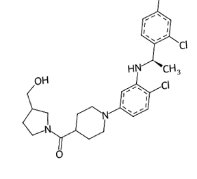 C[C@@H](Nc1cc(N2CCC(C(=O)N3CCC(CO)C3)CC2)ccc1Cl)c1ccc(Cl)cc1Cl